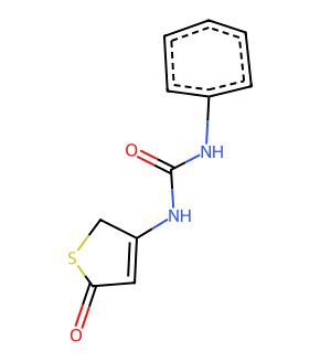 O=C(NC1=CC(=O)SC1)Nc1ccccc1